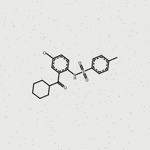 Cc1ccc(S(=O)(=O)Nc2ccc(Cl)cc2C(=O)C2CCCCC2)cc1